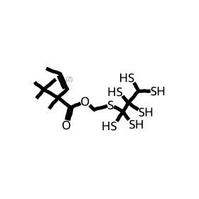 C/C=C\C(C)(C(=O)OCSC(S)(S)C(S)(S)C(S)S)C(C)(C)C